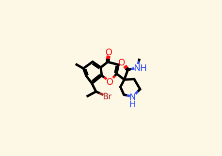 CNC(=O)C1(c2cc(=O)c3cc(C)cc(C(C)Br)c3o2)CCNCC1